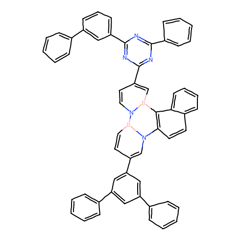 C1=CC(c2cc(-c3ccccc3)cc(-c3ccccc3)c2)=CN2B1N1C=CC(c3nc(-c4ccccc4)nc(-c4cccc(-c5ccccc5)c4)n3)=CB1c1c2ccc2ccccc12